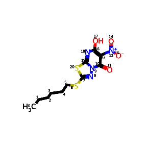 CCCCCCSc1nn2c(=O)c([N+](=O)[O-])c(O)nc2s1